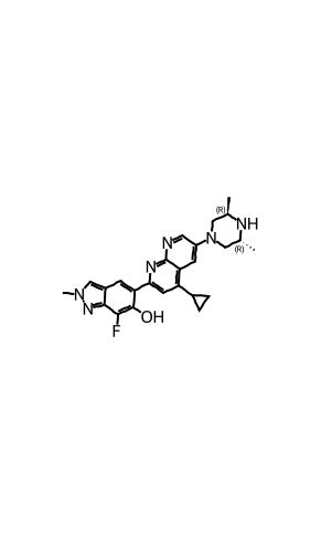 C[C@@H]1CN(c2cnc3nc(-c4cc5cn(C)nc5c(F)c4O)cc(C4CC4)c3c2)C[C@@H](C)N1